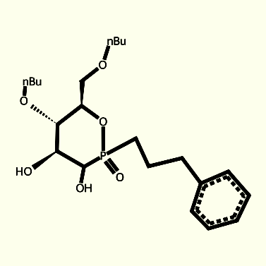 CCCCOC[C@H]1OP(=O)(CCCc2ccccc2)C(O)[C@@H](O)[C@@H]1OCCCC